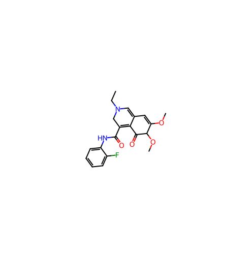 CCN1C=C2C=C(OC)C(OC)C(=O)C2=C(C(=O)Nc2ccccc2F)C1